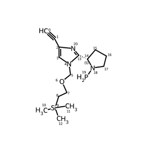 C#Cc1cn(COCC[Si](C)(C)C)c([C@@H]2CCCN2P)n1